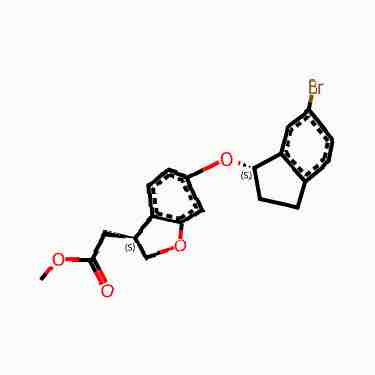 COC(=O)C[C@@H]1COc2cc(O[C@H]3CCc4ccc(Br)cc43)ccc21